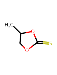 CC1COC(=S)O1